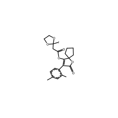 Cc1ccc(C2=C(OC(=O)CC3(I)OCCO3)C3(CCCC3)OC2=O)c(C)c1